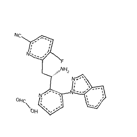 N#Cc1ccc(F)c(C[C@H](N)c2ncccc2-n2ncc3ccccc32)n1.O=CO